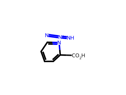 O=C(O)c1ccccn1.[N-]=[N+]=N